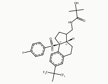 CC(C)(O)C(=O)NCC1CC[C@@]2(S(=O)(=O)c3ccc(F)cc3)c3ccc(C(F)(C(F)(F)F)C(F)(F)F)cc3CC[C@@H]12